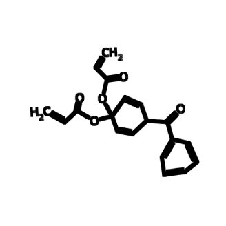 C=CC(=O)OC1(OC(=O)C=C)C=CC(C(=O)c2ccccc2)C=C1